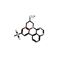 CS(=O)(=O)c1cccc(-c2cccc3ncnc(N4CCCC(C(=O)O)C4)c23)c1